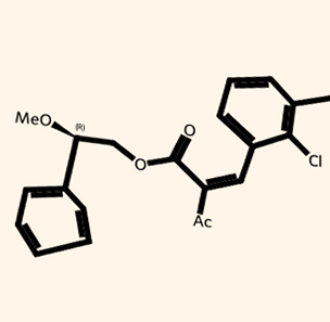 CO[C@@H](COC(=O)C(=Cc1cccc(Cl)c1Cl)C(C)=O)c1ccccc1